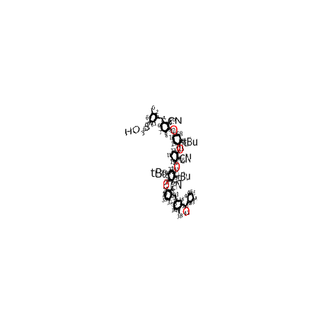 Cc1cc(Cc2cccc(Oc3ccc(Oc4cccc(Oc5cc(C(C)(C)C)c(Oc6cccc(Cc7ccc(C)c(C(=O)c8ccccc8)c7)c6C#N)cc5C(C)(C)C)c4C#N)c(C(C)(C)C)c3)c2C#N)cc(S(=O)(=O)O)c1